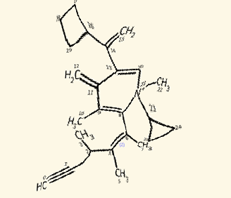 C#CC(C)/C(C)=C(/C)C1=C(C)C(=C)C(C(=C)C2CCC2)=C[N+]1(C)C1CC1